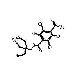 O=C(O)c1c(Cl)c(Cl)c(C(=O)OCC(CBr)(CBr)CBr)c(Cl)c1Cl